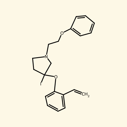 C=Cc1ccccc1OC1(I)CCN(CCOc2ccccc2)C1